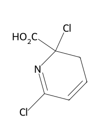 O=C(O)C1(Cl)CC=CC(Cl)=N1